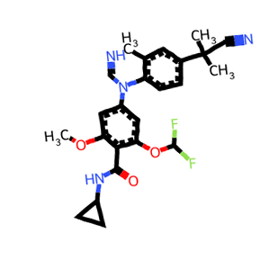 COc1cc(N(C=N)c2ccc(C(C)(C)C#N)cc2C)cc(OC(F)F)c1C(=O)NC1CC1